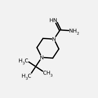 CC(C)(C)N1CCN(C(=N)N)CC1